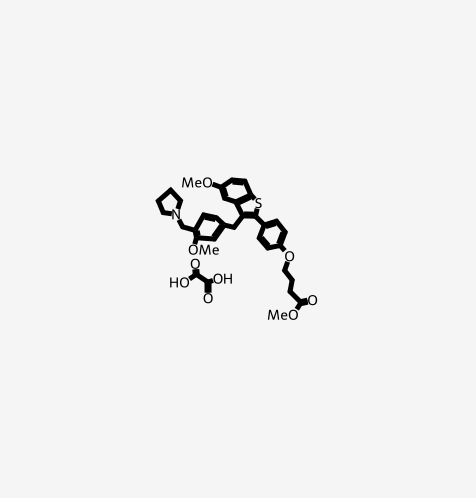 COC(=O)CCCOc1ccc(-c2sc3ccc(OC)cc3c2Cc2ccc(CN3CCCC3)c(OC)c2)cc1.O=C(O)C(=O)O